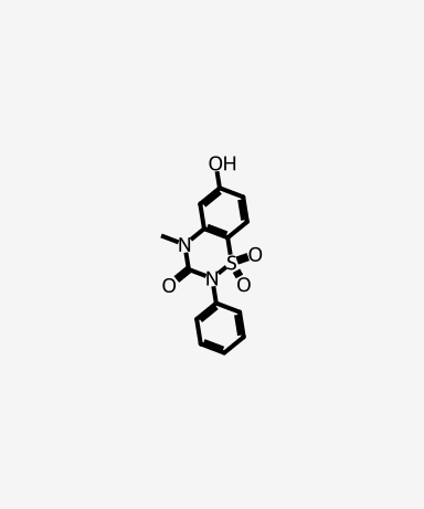 CN1C(=O)N(c2ccccc2)S(=O)(=O)c2ccc(O)cc21